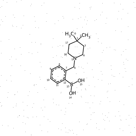 CC1(C)CCN(Cc2ccccc2B(O)O)CC1